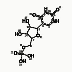 O=c1[nH]cc(C2OC(COP(=O)(O)O)C(O)C2O)c(=O)[nH]1